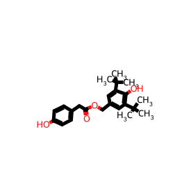 CC(C)(C)c1cc(COC(=O)Cc2ccc(O)cc2)cc(C(C)(C)C)c1O